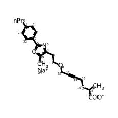 CCCc1ccc(-c2nc(CCOCC#CCSC(C)C(=O)[O-])c(C)o2)cc1.[Na+]